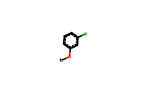 CCOc1c[c]cc(Cl)c1